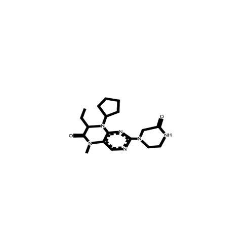 CCC1C(=O)N(C)c2cnc(N3CCNC(=O)C3)nc2N1C1CCCC1